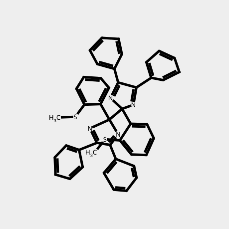 CSc1ccccc1C1(C2(c3ccccc3SC)N=C(c3ccccc3)C(c3ccccc3)=N2)N=C(c2ccccc2)C(c2ccccc2)=N1